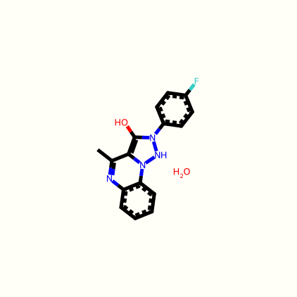 CC1=Nc2ccccc2N2NN(c3ccc(F)cc3)C(O)=C12.O